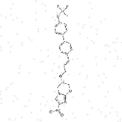 O=[N+]([O-])c1cn2c(n1)OC[C@@H](OCC=Cc1ccc(-c3ccc(OC(F)(F)F)cc3)cc1)C2